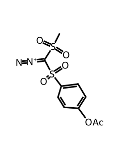 CC(=O)Oc1ccc(S(=O)(=O)C(=[N+]=[N-])S(C)(=O)=O)cc1